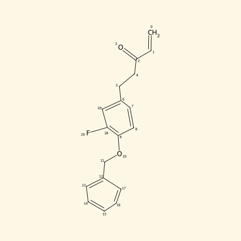 C=CC(=O)CCc1ccc(OCc2ccccc2)c(F)c1